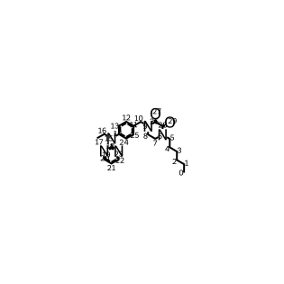 CCCCCCN1CCN(Cc2ccc(N(CC)c3ncccn3)cc2)C(=O)C1=O